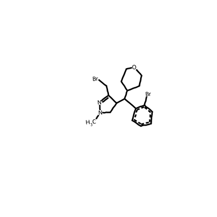 CN1CC(C(c2ccccc2Br)C2CCOCC2)C(CBr)=N1